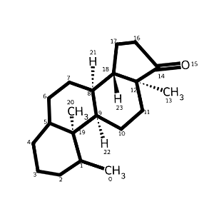 CC1CCCC2CC[C@@H]3[C@@H](CC[C@]4(C)C(=O)CC[C@@H]34)[C@@]12C